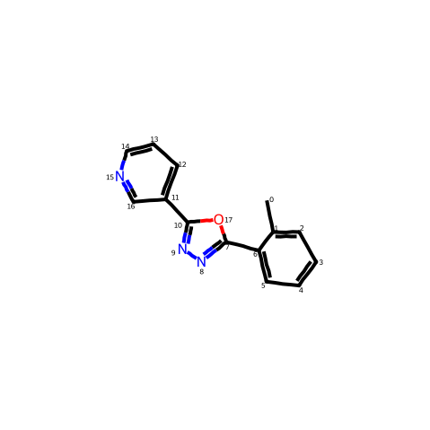 Cc1ccccc1-c1nnc(-c2cccnc2)o1